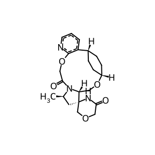 C[C@@H]1C[C@]2(COCC(=O)N2)[C@H]2CO[C@H]3CC[C@H](CC3)c3cccnc3OCC(=O)N12